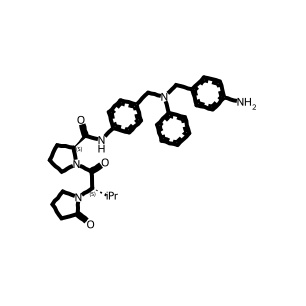 CC(C)[C@@H](C(=O)N1CCC[C@H]1C(=O)Nc1ccc(CN(Cc2ccc(N)cc2)c2ccccc2)cc1)N1CCCC1=O